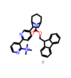 C[N+](C)(C)c1ncccc1-c1ccc(C2CC3CCCC2N3C(=O)OCC2c3ccccc3-c3ccccc32)cn1.[I-]